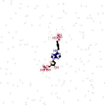 O=P(O)(O)OCC#CCNc1ncnc2c1ncn2[C@H]1C[C@H](O)[C@@H](COP(=O)(O)O)O1